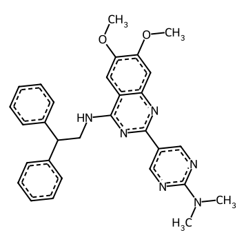 COc1cc2nc(-c3cnc(N(C)C)nc3)nc(NCC(c3ccccc3)c3ccccc3)c2cc1OC